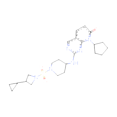 O=c1ccc2cnc(NC3CCN(S(=O)(=O)N4CC(C5CC5)C4)CC3)nc2n1C1CCCC1